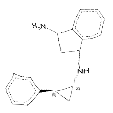 NC1CC(N[C@@H]2C[C@H]2c2ccccc2)c2ccccc21